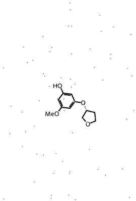 COc1cc(O)cc(O[C@@H]2CCOC2)c1